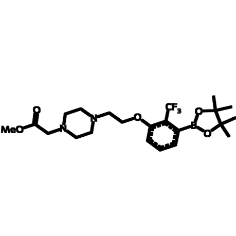 COC(=O)CN1CCN(CCOc2cccc(B3OC(C)(C)C(C)(C)O3)c2C(F)(F)F)CC1